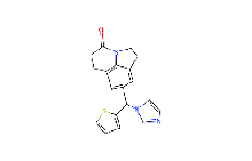 O=C1CCc2cc(C(c3cccs3)n3ccnc3)cc3c2N1CC3